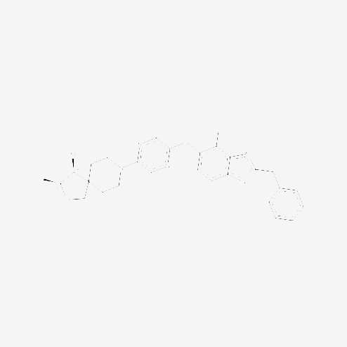 C[C@@H]1OCC2(CCN(c3cnc(Sc4ccc5nc(Cc6ccccc6)[nH]c5c4Cl)cn3)CC2)[C@@H]1N